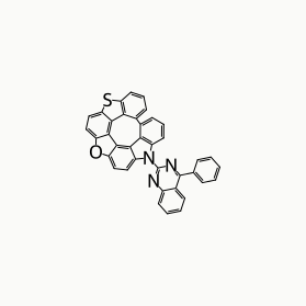 c1ccc(-c2nc(-n3c4cccc5c6cccc7sc8ccc9oc%10ccc3c(c%10c9c8c76)c54)nc3ccccc23)cc1